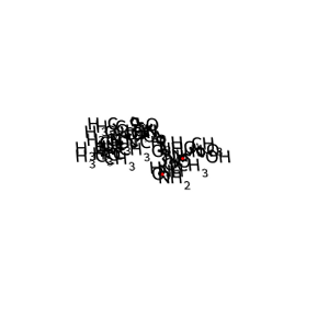 CC[C@H](C)[C@@H]([C@@H](CC(=O)N1CCC[C@H]1[C@H](OC)[C@@H](C)C(=O)N[C@@H](Cc1ccccc1)C(=O)NCc1ccc(NC(=O)[C@H](CCCNC(N)=O)NC(=O)[C@@H](NC(=O)CCC(=O)N2CC[C@H](C(=O)O)C[C@@H]2C)C(C)C)cc1)OC)N(C)C(=O)[C@@H](NC(=O)[C@H](C(C)C)N(C)C)C(C)C